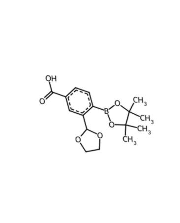 CC1(C)OB(c2ccc(C(=O)O)cc2C2OCCO2)OC1(C)C